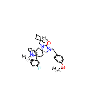 COc1ccc(CN2C[C@]3(CC[C@](c4cccc(F)c4)(N(C)C)CC3)N(CC3(C)CCC3)C2=O)cc1